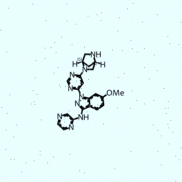 COc1ccc2c(Nc3cnccn3)nn(-c3cc(N4C[C@@H]5C[C@H]4CN5)ncn3)c2c1